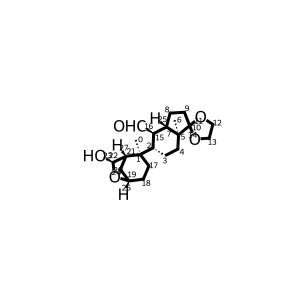 C[C@]1([C@H]2CC[C@@]3(C)[C@@H](CCC34OCCO4)[C@@H]2C=O)CC[C@H]2C[C@@H]1[C@H](O)O2